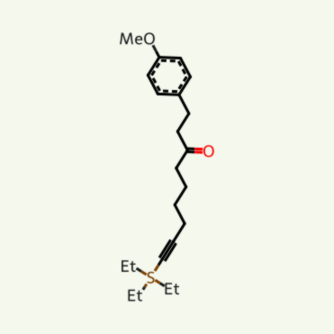 CCS(C#CCCCCC(=O)CCc1ccc(OC)cc1)(CC)CC